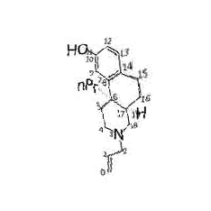 C=CCN1CC[C@@]2(CCC)c3cc(O)ccc3CC[C@H]2C1